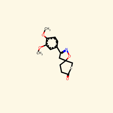 COc1ccc(C2=NOC3(CCC(=O)CC3)C2)cc1OC